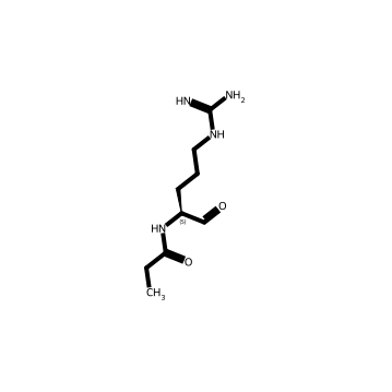 CCC(=O)N[C@H](C=O)CCCNC(=N)N